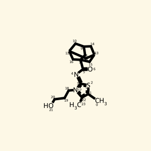 Cc1sc(=NC(=O)C23CC4CC(CC(C4)C2)C3)n(CCCO)c1C